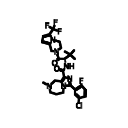 CN1CCCn2c(-c3cc(Cl)ccc3F)nc(C(=O)N[C@H](C(=O)N3CCn4c(ccc4C(F)(F)F)C3)C(C)(C)C)c2C1